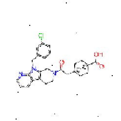 O=C(CC12CCC(C(=O)O)(CC1)CC2)N1CCc2c(n(Cc3cccc(Cl)c3)c3ncccc23)C1